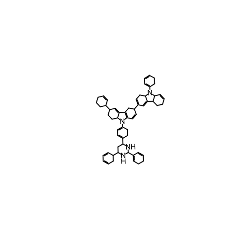 C1=CCCC(N2C3CC=C(C4C=CC5=C(C4)C4=CC(C6C=CCCC6)CCC4N5C4=CC=C(C5CC(C6C=CC=CC6)NC(C6=CCCC=C6)N5)CC4)C=C3C3CCC=CC32)=C1